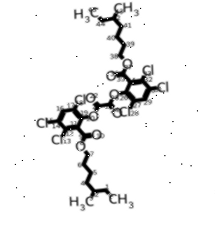 CCC(C)CCCCOC(=O)c1c(Cl)c(Cl)cc(Cl)c1OC(=O)C(=O)Oc1c(Cl)cc(Cl)c(Cl)c1C(=O)OCCCCC(C)CC